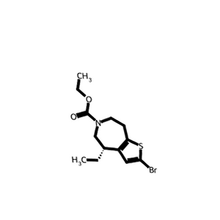 CCOC(=O)N1CCc2sc(Br)cc2[C@H](CC)C1